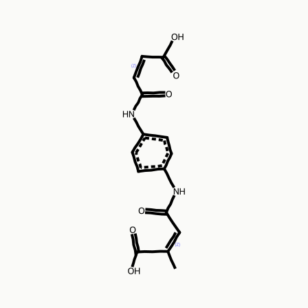 C/C(=C/C(=O)Nc1ccc(NC(=O)/C=C\C(=O)O)cc1)C(=O)O